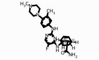 Cc1cc(Nc2ncc(F)c(N[C@H]3[C@@H](C(N)=O)[C@@H]4C=C[C@H]3CC4)n2)ccc1N1CCN(C)CC1